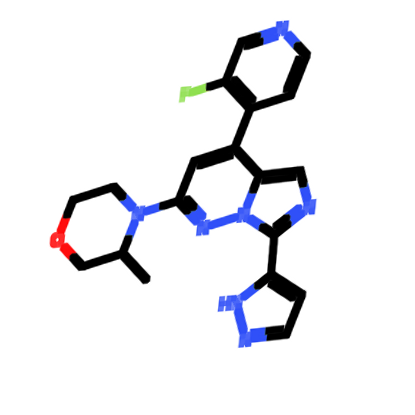 CC1COCCN1c1cc(-c2ccncc2F)c2cnc(-c3ccn[nH]3)n2n1